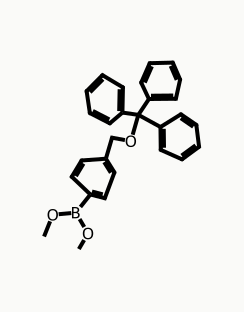 COB(OC)c1ccc(COC(c2ccccc2)(c2ccccc2)c2ccccc2)cc1